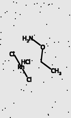 CCON.Cl.[Cl][Rh][Cl]